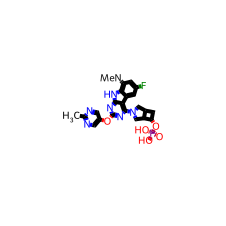 CNc1cc(F)cc2c1[nH]c1nc(Oc3cnc(C)nc3)nc(N3CC4CC(OP(=O)(O)O)C4C3)c12